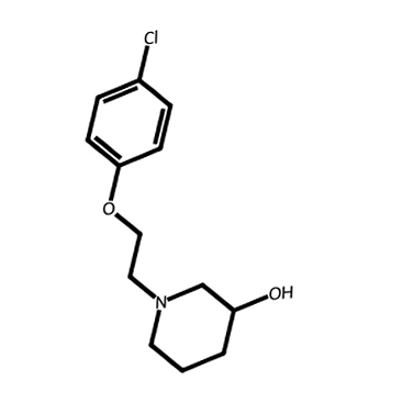 OC1CCCN(CCOc2ccc(Cl)cc2)C1